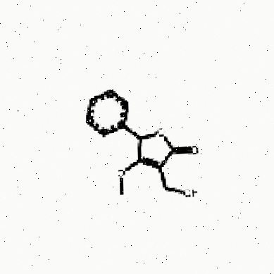 COC1=C(CO)C(=O)OC1c1ccccc1